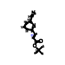 CC(C)(C)OC(=O)/C=C/c1cccc(C#N)n1